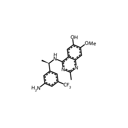 COc1cc2nc(C)nc(N[C@H](C)c3cc(N)cc(C(F)(F)F)c3)c2cc1O